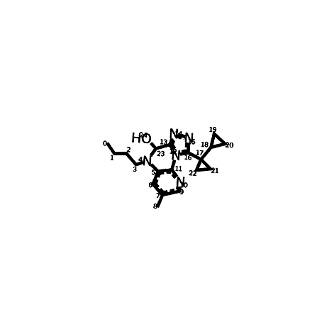 CCCCN1c2cc(C)cnc2-n2c(nnc2C2(C3CC3)CC2)C1O